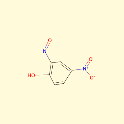 O=Nc1cc([N+](=O)[O-])ccc1O